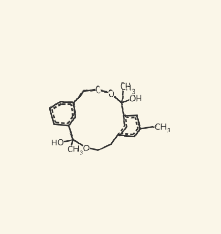 Cc1cc2cc(c1)C(C)(O)OCCc1cccc(c1)C(C)(O)OCC2